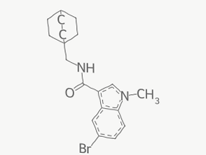 Cn1cc(C(=O)NCC23CCC(CC2)CC3)c2cc(Br)ccc21